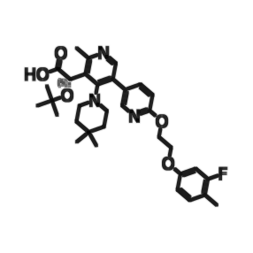 Cc1ccc(OCCOc2ccc(-c3cnc(C)c([C@H](OC(C)(C)C)C(=O)O)c3N3CCC(C)(C)CC3)cn2)cc1F